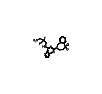 NCC(F)(F)CNc1nc(N2CCS(=O)(=O)c3ccccc3C2)nc2ccsc12